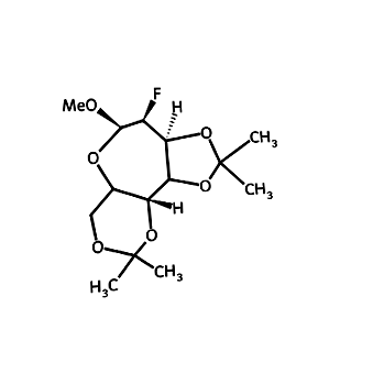 CO[C@@H]1OC2COC(C)(C)O[C@H]2C2OC(C)(C)O[C@@H]2[C@@H]1F